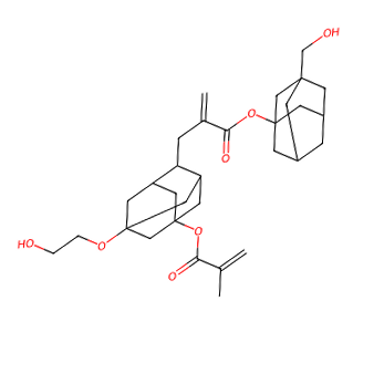 C=C(C)C(=O)OC12CC3CC(OCCO)(CC(C1)C3CC(=C)C(=O)OC13CC4CC(CC(CO)(C4)C1)C3)C2